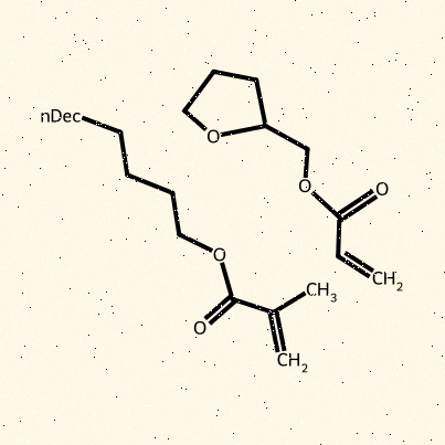 C=C(C)C(=O)OCCCCCCCCCCCCCC.C=CC(=O)OCC1CCCO1